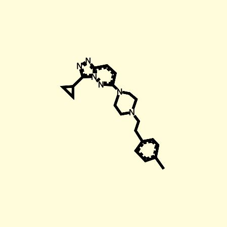 Cc1ccc(CCN2CCN(c3ccc4nnc(C5CC5)n4n3)CC2)cc1